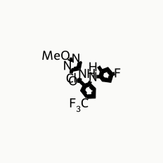 COc1ncc(NC(=O)c2cc(C(F)(F)F)ccc2Nc2ccc(F)cc2C)c(Cl)n1